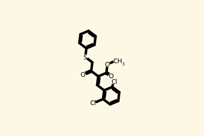 COC(=O)C(=Cc1c(Cl)cccc1Cl)C(=O)CSc1ccccc1